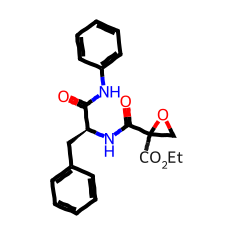 CCOC(=O)C1(C(=O)N[C@@H](Cc2ccccc2)C(=O)Nc2ccccc2)CO1